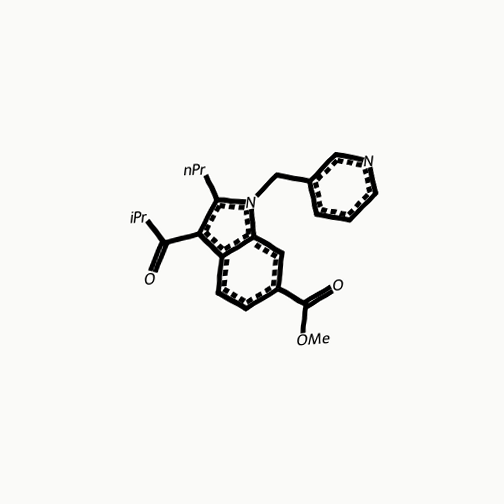 CCCc1c(C(=O)C(C)C)c2ccc(C(=O)OC)cc2n1Cc1cccnc1